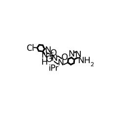 CC(C)[C@H]1CN(S(=O)(=O)c2nc3ccc(Cl)cc3[nH]2)CC(=O)N1Cc1ccc2c(N)ncnc2c1